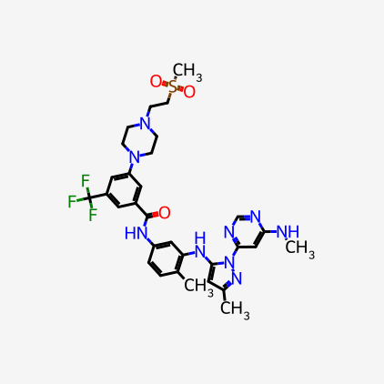 CNc1cc(-n2nc(C)cc2Nc2cc(NC(=O)c3cc(N4CCN(CCS(C)(=O)=O)CC4)cc(C(F)(F)F)c3)ccc2C)ncn1